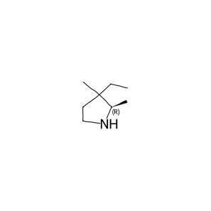 CCC1(C)CCN[C@@H]1C